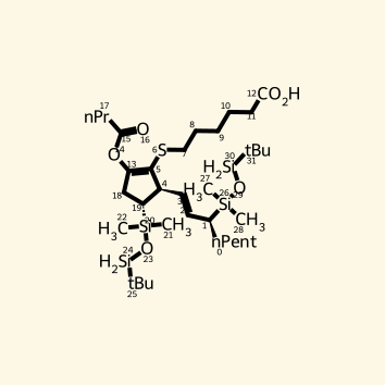 CCCCC[C@@H](/C=C/[C@@H]1C(SCCCCCC(=O)O)=C(OC(=O)CCC)C[C@H]1[Si](C)(C)O[SiH2]C(C)(C)C)[Si](C)(C)O[SiH2]C(C)(C)C